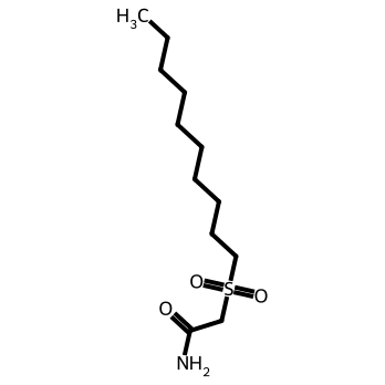 CCCCCCCCCCS(=O)(=O)CC(N)=O